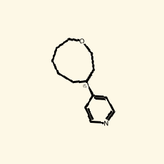 c1cc([C@H]2CCCCCOCC2)ccn1